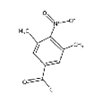 Cc1cc(C(=O)Cl)cc(C)c1[N+](=O)[O-]